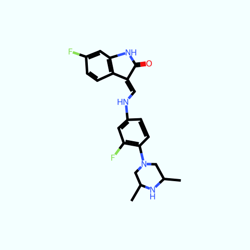 CC1CN(c2ccc(N/C=C3/C(=O)Nc4cc(F)ccc43)cc2F)CC(C)N1